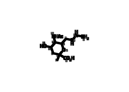 BNBCC1OC(C)(C(=O)O)CC(O)C1NC(C)=O